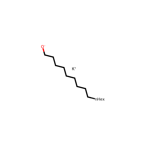 CCCCCCCCCCCCCCC[O-].[K+]